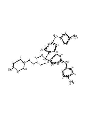 CCC1CCC(CCC2CCC(c3ccc(Oc4ccc(N)cc4)cc3)(c3ccc(Oc4ccc(N)cc4)cc3)CC2)CC1